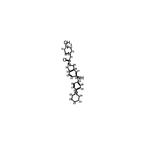 CN1CCN(CC(=O)N2Cc3ccc(Nc4ccc(N5CCCCC5)cc4)cc3C2)CC1